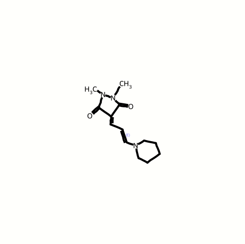 CN1C(=O)C(=C/C=C/N2CCCCC2)C(=O)N1C